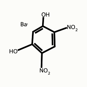 O=[N+]([O-])c1cc([N+](=O)[O-])c(O)cc1O.[Ba]